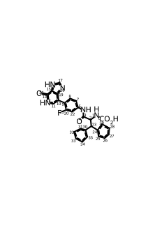 O=C(O)NC(C(=O)Nc1ccc(-c2c[nH]c(=O)c3[nH]cnc23)c(F)c1)C(c1ccccc1)c1ccccc1